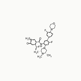 C[C@@H]1CN(c2cc(F)c(-c3ccc(N4CCOCC4)c(F)c3)cc2NC(=O)c2cn(C)c(=O)cc2C(F)F)C[C@H](C)N1C